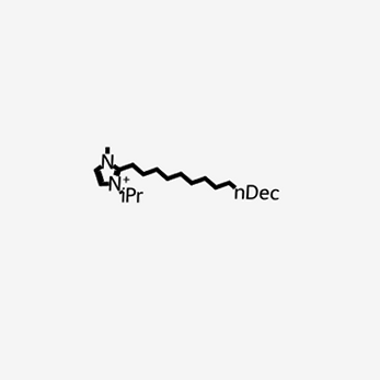 CCCCCCCCCCCCCCCCCCCc1n(C)cc[n+]1C(C)C